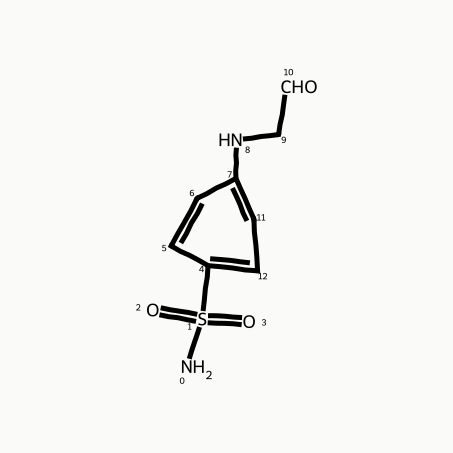 NS(=O)(=O)c1ccc(NCC=O)cc1